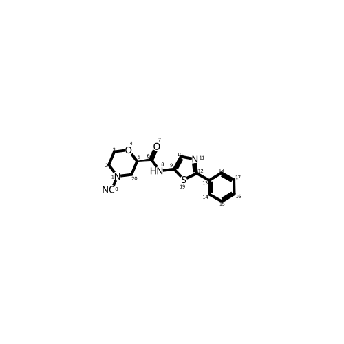 N#CN1CCO[C@@H](C(=O)Nc2cnc(-c3ccccc3)s2)C1